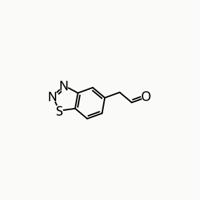 O=CCc1ccc2snnc2c1